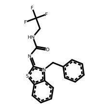 O=C(N=c1sc2ccccc2n1Cc1ccccc1)NCC(F)(F)F